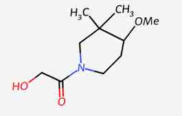 COC1CCN(C(=O)CO)CC1(C)C